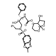 Cc1nc2ccc(S(=O)(=O)N(CC(C)C)C[C@@H](O)[C@H](Cc3ccccc3)NC(=O)O[C@H]3CCO[C@H]4OCC(O)C43)cc2o1